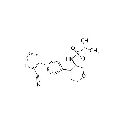 CC(C)S(=O)(=O)N[C@H]1COCC[C@H]1c1ccc(-c2ccccc2C#N)cc1